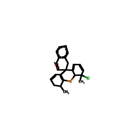 CC1CC=CC2=C1SC1C(=CC=CC1(C)Cl)C21Cc2ccccc2-c2ccccc21